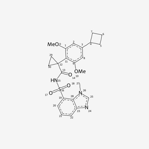 COc1cc(C2CCC2)cc(OC)c1C1(C(=O)NS(=O)(=O)c2cccc3ncn(C)c23)CC1